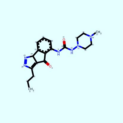 CCCC1=C2C(=O)c3c(NC(=O)NN4CCN(C)CC4)cccc3C2N=N1